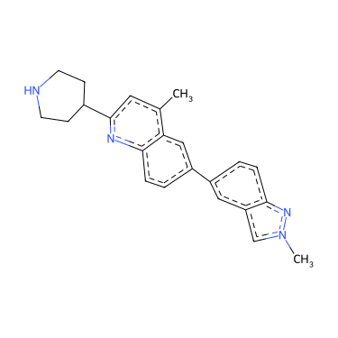 Cc1cc(C2CCNCC2)nc2ccc(-c3ccc4nn(C)cc4c3)cc12